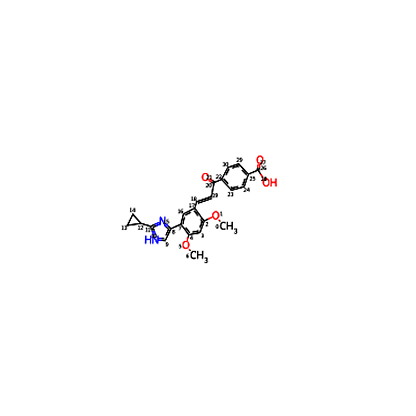 COc1cc(OC)c(-c2c[nH]c(C3CC3)n2)cc1C=CC(=O)c1ccc(C(=O)O)cc1